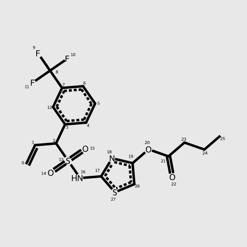 C=CC(c1cccc(C(F)(F)F)c1)S(=O)(=O)Nc1nc(OC(=O)CCC)cs1